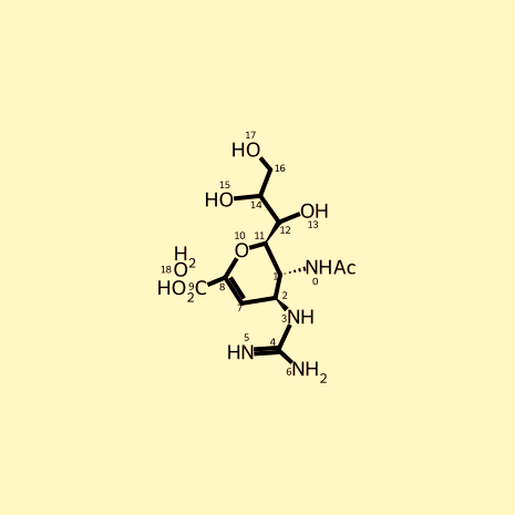 CC(=O)N[C@@H]1[C@@H](NC(=N)N)C=C(C(=O)O)O[C@H]1C(O)C(O)CO.O